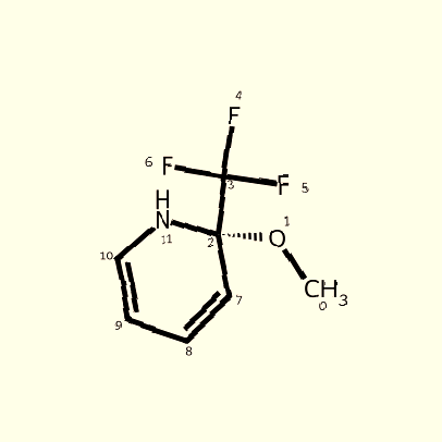 CO[C@]1(C(F)(F)F)C=CC=CN1